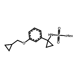 CCCCCCS(=O)(=O)NC1(c2cccc(OCC3CC3)c2)CC1